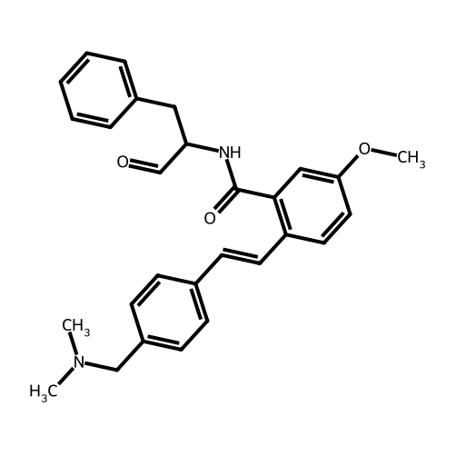 COc1ccc(/C=C/c2ccc(CN(C)C)cc2)c(C(=O)NC(C=O)Cc2ccccc2)c1